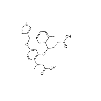 CC(=CC(=O)O)c1ccc(OCc2ccsc2)cc1OC(CCC(=O)O)c1ccccc1C